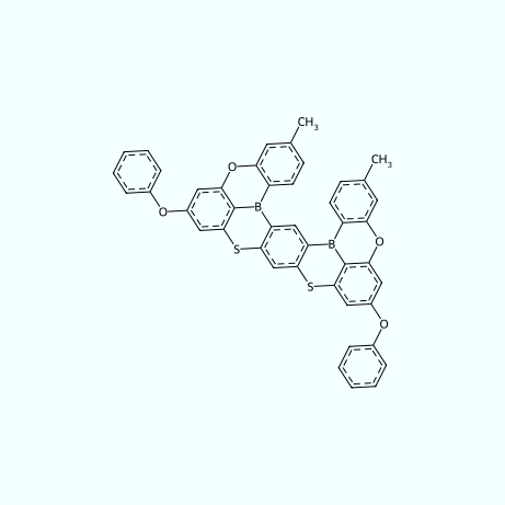 Cc1ccc2c(c1)Oc1cc(Oc3ccccc3)cc3c1B2c1cc2c(cc1S3)Sc1cc(Oc3ccccc3)cc3c1B2c1ccc(C)cc1O3